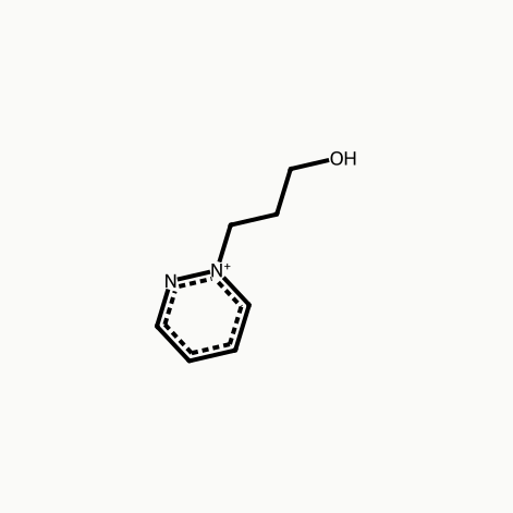 OCCC[n+]1ccccn1